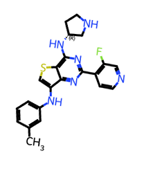 Cc1cccc(Nc2csc3c(N[C@@H]4CCNC4)nc(-c4ccncc4F)nc23)c1